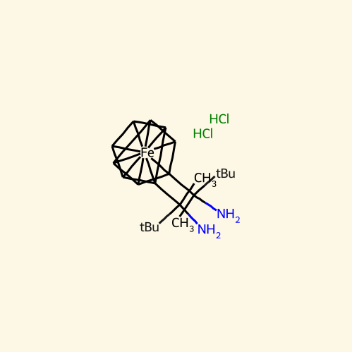 CC(C)(C)C(C)(N)[C]12[CH]3[CH]4[CH]5[CH]1[Fe]45321678[CH]2[CH]1[CH]6[C]7(C(C)(N)C(C)(C)C)[CH]28.Cl.Cl